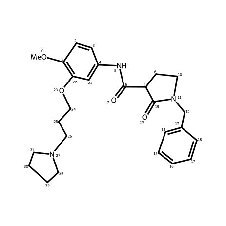 COc1ccc(NC(=O)C2CCN(Cc3ccccc3)C2=O)cc1OCCCN1CCCC1